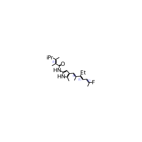 CCC(=C\C=C(/C)F)/C(C)=C/c1cc(NC(=O)/C(C)=C(\C)C(C)C)[nH]c1C